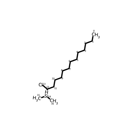 CCCCCCCCCCCCC(Cl)[SiH](C)C